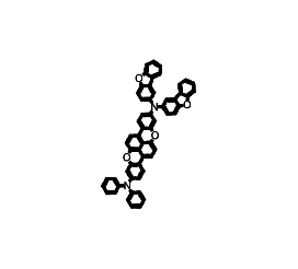 c1ccc(N(c2ccccc2)c2ccc3c(c2)Oc2ccc4c5c(ccc-3c25)Oc2cc(N(c3ccc5oc6ccccc6c5c3)c3ccc5oc6ccccc6c5c3)ccc2-4)cc1